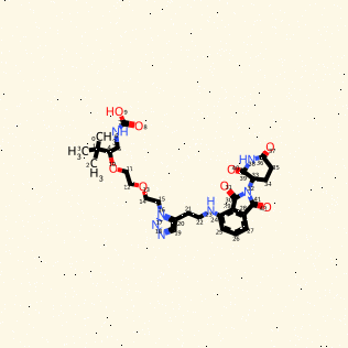 CC(C)(C)C(CNC(=O)O)OCCOCCn1nncc1CCNc1cccc2c1C(=O)N(C1CCC(=O)NC1=O)C2=O